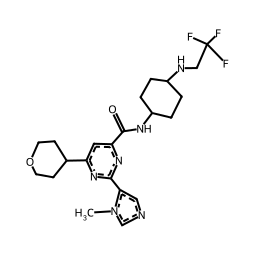 Cn1cncc1-c1nc(C(=O)NC2CCC(NCC(F)(F)F)CC2)cc(C2CCOCC2)n1